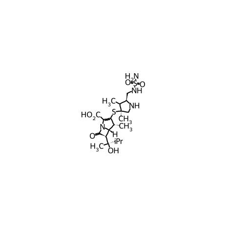 CC1[C@@H](CNS(N)(=O)=O)NC[C@@]1(C)SC1=C(C(=O)O)N2C(=O)[C@H]([C@](C)(O)C(C)C)[C@H]2[C@H]1C